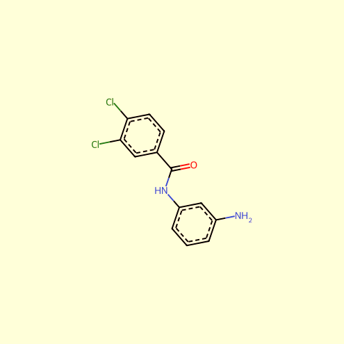 Nc1cccc(NC(=O)c2ccc(Cl)c(Cl)c2)c1